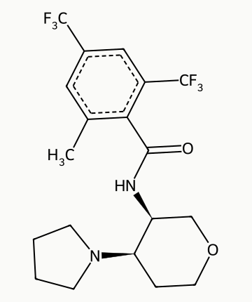 Cc1cc(C(F)(F)F)cc(C(F)(F)F)c1C(=O)N[C@H]1COCC[C@H]1N1CCCC1